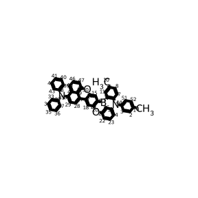 Cc1ccc(N2c3ccc(C)cc3B3c4cc5c(cc4Oc4cccc2c43)-c2ccc(N(c3ccccc3)c3ccccc3)c3cccc(c23)O5)cc1